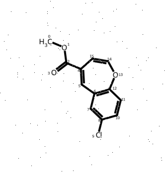 COC(=O)C1=Cc2cc(Cl)ccc2OC=C1